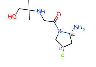 CC(C)(CO)NCC(=O)N1C[C@@H](F)C[C@H]1N